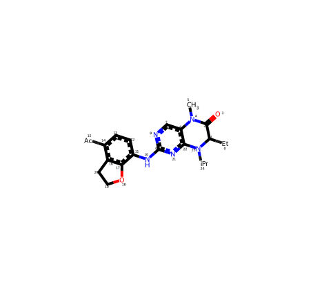 CCC1C(=O)N(C)c2cnc(Nc3ccc(C(C)=O)c4c3OCC4)nc2N1C(C)C